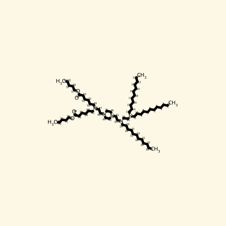 CCCCCCCCCCCCN(CCCCCCCCCCCC)CCN(CCCCCCCCCCCC)CCN1CCN(CCN(CCCCCC(=O)OCCCCC)CCCCCC(=O)OCCCCC)CC1